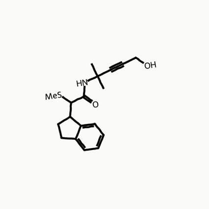 CSC(C(=O)NC(C)(C)C#CCO)C1CCc2ccccc21